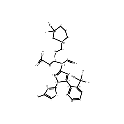 Cc1csc(-n2nc(N(C=O)[C@@H](CCN3CCCC(F)(F)C3)CC(=O)O)cc2-c2ccccc2C(F)(F)F)n1